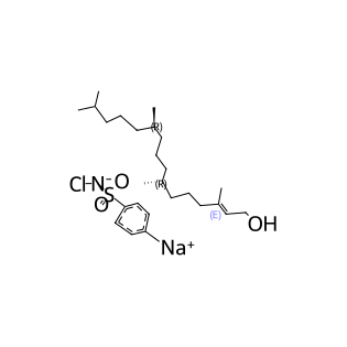 C/C(=C\CO)CCC[C@H](C)CCC[C@H](C)CCCC(C)C.Cc1ccc(S(=O)(=O)[N-]Cl)cc1.[Na+]